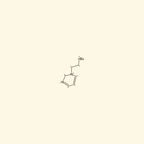 CCCCCCN1C=CC=NC1